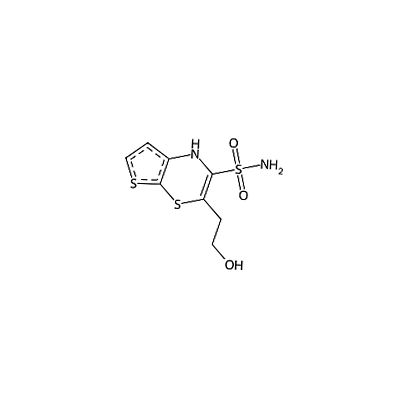 NS(=O)(=O)C1=C(CCO)Sc2sccc2N1